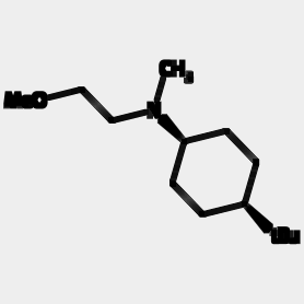 COCCN(C)[C@H]1CC[C@@H](C(C)(C)C)CC1